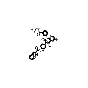 COC(=O)c1cccc(-n2c(=O)n(C3CCC(NC(=O)c4cc5ccccn5n4)CC3)c(=O)c3cc(F)cnc32)c1